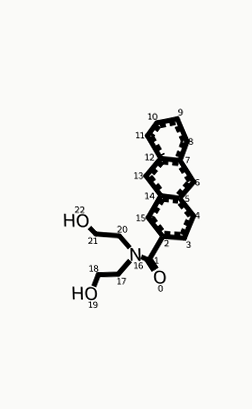 O=C(c1ccc2cc3ccccc3cc2c1)N(CCO)CCO